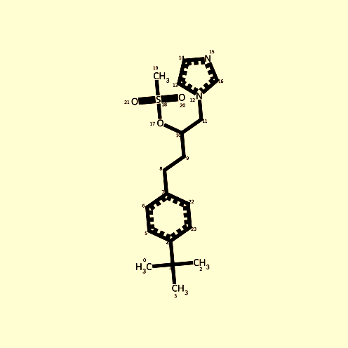 CC(C)(C)c1ccc(CCC(Cn2ccnc2)OS(C)(=O)=O)cc1